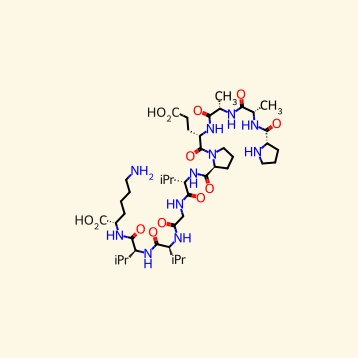 CC(C)[C@H](NC(=O)CNC(=O)[C@@H](NC(=O)[C@@H]1CCCN1C(=O)[C@H](CCC(=O)O)NC(=O)[C@H](C)NC(=O)[C@H](C)NC(=O)[C@@H]1CCCN1)C(C)C)C(=O)N[C@H](C(=O)N[C@@H](CCCCN)C(=O)O)C(C)C